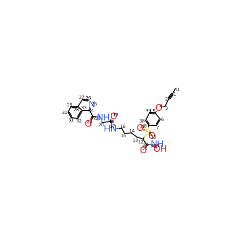 CC#CCOc1ccc(S(=O)(=O)C(CCCCNC(=O)CNC(=O)c2nccc3ccccc23)C(=O)NO)cc1